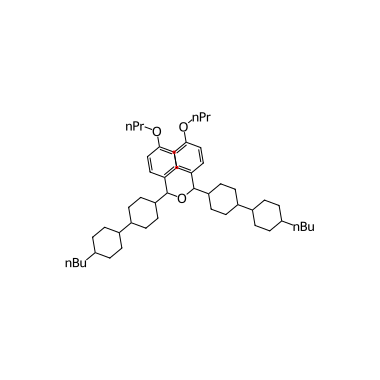 CCCCC1CCC(C2CCC(C(OC(c3ccc(OCCC)cc3)C3CCC(C4CCC(CCCC)CC4)CC3)c3ccc(OCCC)cc3)CC2)CC1